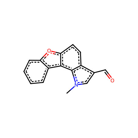 Cn1cc(C=O)c2ccc3oc4ccccc4c3c21